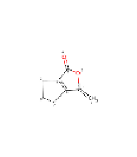 C=C1OC(=O)C2=C1CCC2